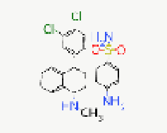 CN[C@H]1CC[C@@H](c2ccc(Cl)c(Cl)c2)c2ccccc21.Nc1ccc(S(N)(=O)=O)cc1